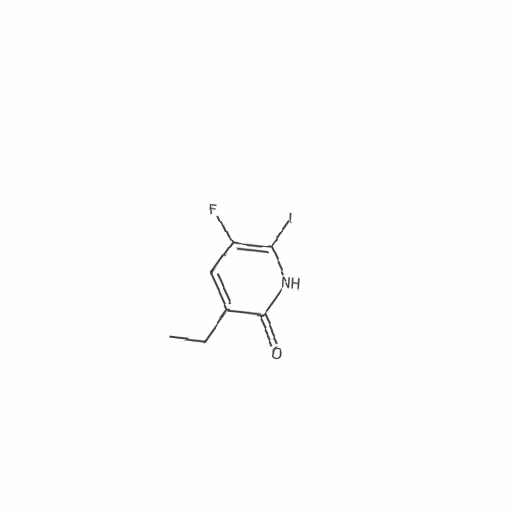 CCc1cc(F)c(I)[nH]c1=O